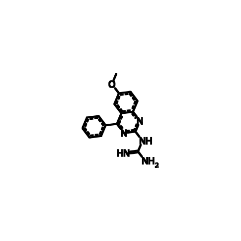 COc1ccc2nc(NC(=N)N)nc(-c3ccccc3)c2c1